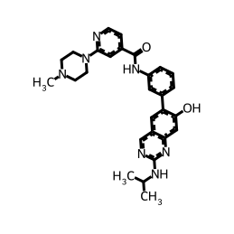 CC(C)Nc1ncc2cc(-c3cccc(NC(=O)c4ccnc(N5CCN(C)CC5)c4)c3)c(O)cc2n1